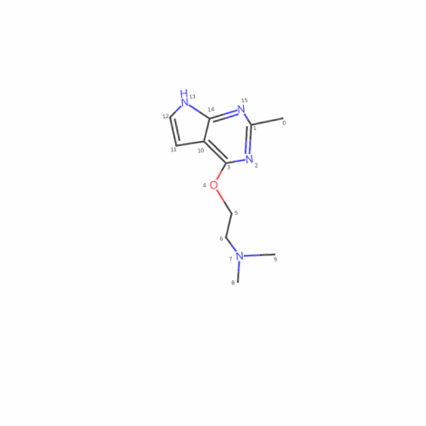 Cc1nc(OCCN(C)C)c2cc[nH]c2n1